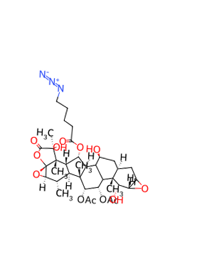 CC(=O)O[C@H]1C2C([C@@H]3[C@@H](OC(=O)CCCCN=[N+]=[N-])[C@@H]4[C@H]([C@H](C)[C@H]5O[C@]56OC(=O)[C@@](C)(O)[C@]46C)[C@@]3(C)[C@H]1OC(C)=O)[C@@H](O)C[C@H]1C[C@@H]3O[C@@H]3[C@H](O)[C@]21C